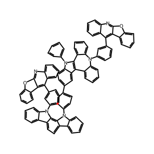 c1ccc(-n2c3c(c4cc(-c5ccc(-n6c7ccccc7c7ccc8c9ccccc9n(-c9cccc(-c%10c%11ccccc%11nc%11oc%12ccccc%12c%10%11)c9)c8c76)cc5)ccc42)-c2ccccc2N(c2cccc(-c4c5ccccc5nc5oc6ccccc6c45)c2)c2ccccc2-3)cc1